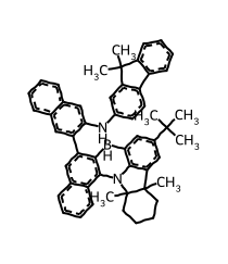 CC(C)(C)c1cc2c3c(c1)C1(C)CCCCC1(C)N3c1c(c(-c3cc4ccccc4cc3Nc3ccc4c(c3)C(C)(C)c3ccccc3-4)cc3ccccc13)B2